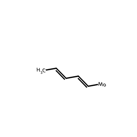 CC=CC=[CH][Mo]